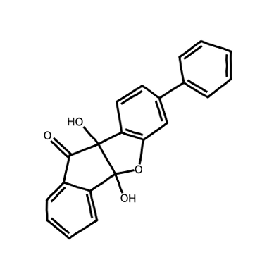 O=C1c2ccccc2C2(O)Oc3cc(-c4ccccc4)ccc3C12O